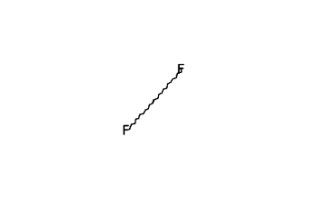 FCCCCCCCCCCC=CCCCCCCCCCCCF